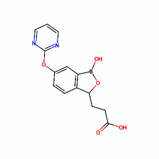 O=C(O)CCC1OB(O)c2cc(Oc3ncccn3)ccc21